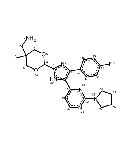 CC1(CN)COC(c2nc(-c3ccc(F)cc3)c(-c3ccnc(N4CCCC4)n3)[nH]2)OC1